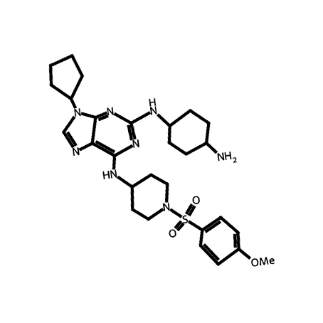 COc1ccc(S(=O)(=O)N2CCC(Nc3nc(NC4CCC(N)CC4)nc4c3ncn4C3CCCC3)CC2)cc1